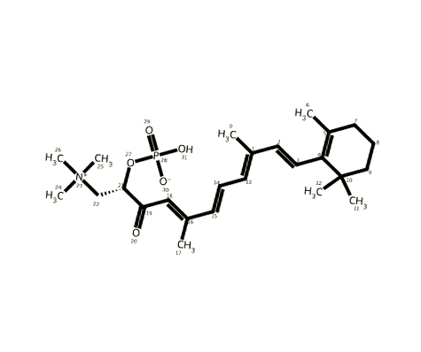 CC(C=CC1=C(C)CCCC1(C)C)=CC=CC(C)=CC(=O)[C@H](C[N+](C)(C)C)OP(=O)([O-])O